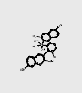 CC(C)(C)c1ccc2cc(-c3c(C(C)(C)C)cccc3P(O)(O)(O)c3cc4ccc(C(C)(C)C)cc4cc3C(C)(C)C)c(C(C)(C)C)cc2c1